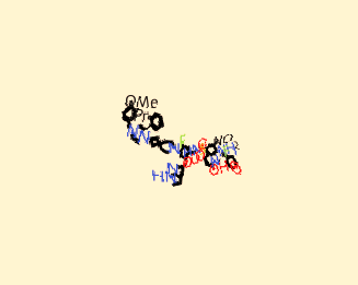 COc1ccc(CN2CCN(C3CC4(CCN(c5cc(Oc6cnc7[nH]ccc7c6)c(C(=O)NS(=O)(=O)c6cc([N+](=O)[O-])c(NCC7(F)CCOCC7)c7c6C=CC(O)N7C)cc5F)CC4)C3)[C@H](c3ccccc3C(C)C)C2)cc1